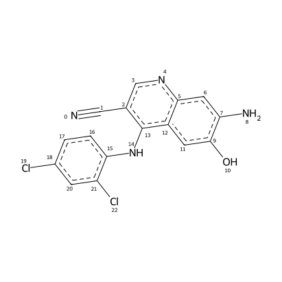 N#Cc1cnc2cc(N)c(O)cc2c1Nc1ccc(Cl)cc1Cl